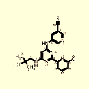 CC(C)(C)CNc1cc(Nc2cncc(C#N)c2)nc(-c2cccc(Cl)n2)n1